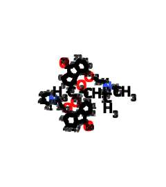 CCOc1cccc2c1-c1c(OCCCN(CC)CC)cccc1C2=O.CCOc1cccc2c1-c1c(OCCN3CCCC3)cccc1C2=O